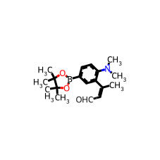 C/C(=C/C=O)c1cc(B2OC(C)(C)C(C)(C)O2)ccc1N(C)C